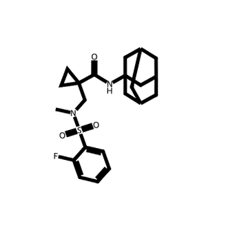 CN(CC1(C(=O)NC23CC4CC(CC(C4)C2)C3)CC1)S(=O)(=O)c1ccccc1F